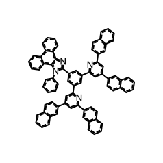 c1ccc(-n2c(-c3cc(-c4cc(-c5ccc6ccccc6c5)cc(-c5ccc6ccccc6c5)n4)cc(-c4cc(-c5ccc6ccccc6c5)cc(-c5ccc6ccccc6c5)n4)c3)nc3c4ccccc4c4ccccc4c32)cc1